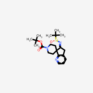 CC(C)(C)OC(=O)N1CCC2(CC1)/C(=N\[S@+]([O-])C(C)(C)C)Cc1cccnc12